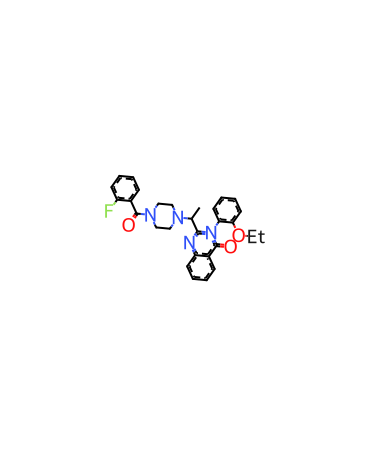 CCOc1ccccc1-n1c(C(C)N2CCN(C(=O)c3ccccc3F)CC2)nc2ccccc2c1=O